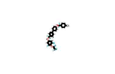 CCC1CCC(C(F)(F)OC2CCC(c3ccc(C(F)(F)Oc4cc(F)c(OC(F)=C(F)F)c(F)c4)c(F)c3)CC2)CC1